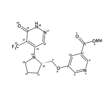 COC(=O)c1cncc(OC[C@@H]2CCCN2c2cn[nH]c(=O)c2C(F)(F)F)c1